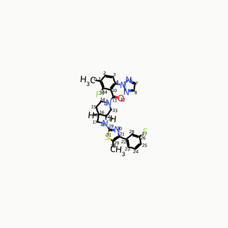 Cc1ccc(-n2nccn2)c(C(=O)N2CC[C@H]3CN(c4nc(-c5cccc(F)c5)c(C)s4)[C@@H]3C2)c1F